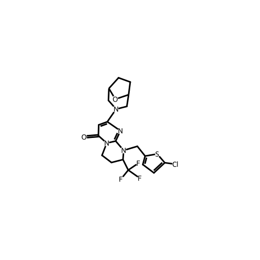 O=c1cc(N2CC3CCC(C2)O3)nc2n1CCC(C(F)(F)F)N2Cc1ccc(Cl)s1